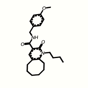 CCCCn1c2c(cc(C(=O)NCc3ccc(OC)cc3)c1=O)CCCCCC2